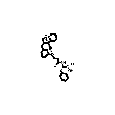 CCC(Cc1cccc(OCCC(=O)N[C@@H](Cc2ccccc2)B(O)O)c1)C(C#N)c1ccccn1